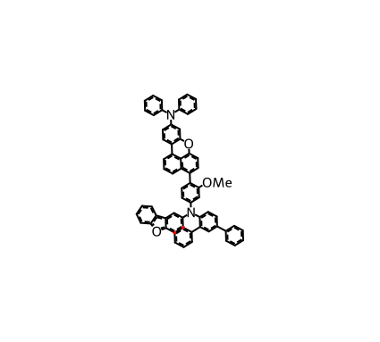 COc1cc(N(c2ccc3oc4ccccc4c3c2)c2ccc(-c3ccccc3)cc2-c2ccccc2)ccc1-c1ccc2c3c(cccc13)-c1ccc(N(c3ccccc3)c3ccccc3)cc1O2